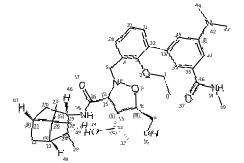 CCOc1c(CN2O[C@@H](CO)[C@H]([C@H](C)O)[C@H]2C(=O)N[C@H]2C[C@H]3C[C@@H]([C@@H]2C)C3(C)C)cccc1-c1cc(C(=O)NC)cc(N(C)C)c1